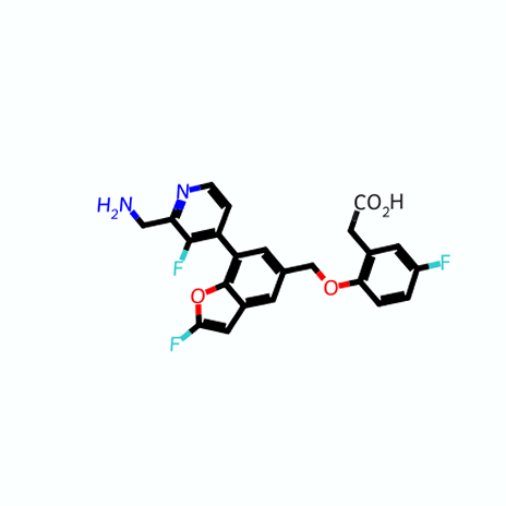 NCc1nccc(-c2cc(COc3ccc(F)cc3CC(=O)O)cc3cc(F)oc23)c1F